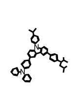 CC(C)CC(c1ccc(-c2ccc3c(c2)c2cc(-c4ccc(N(c5ccccc5)c5ccccc5)cc4)ccc2n3-c2ccc(C(C)C)cc2)cc1)C(C)C